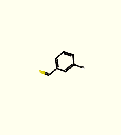 CCc1[c]c(C=S)ccc1